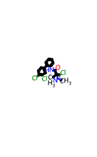 Cc1nn(C)c(Cl)c1C(=O)Nc1ccccc1-c1ccc(Cl)c(Cl)c1